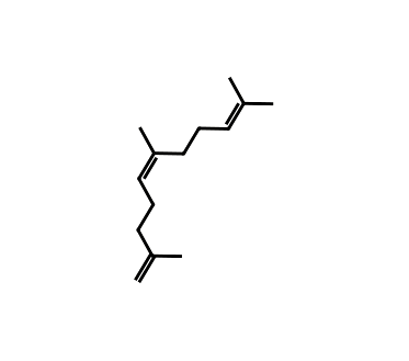 C=C(C)CCC=C(C)CCC=C(C)C